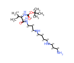 CC(C)C(NC(=O)OC(C)(C)C)C(=O)NCCCNCCCCNCCCN